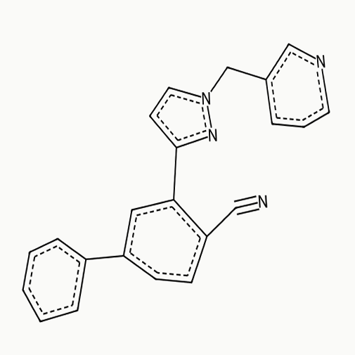 N#Cc1ccc(-c2ccccc2)cc1-c1ccn(Cc2cccnc2)n1